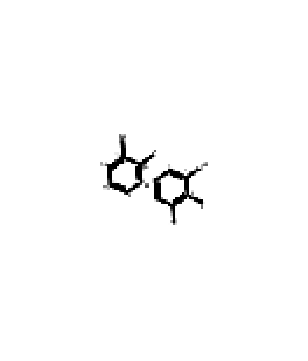 Cc1cccc(I)c1C.Cc1ccccc1C